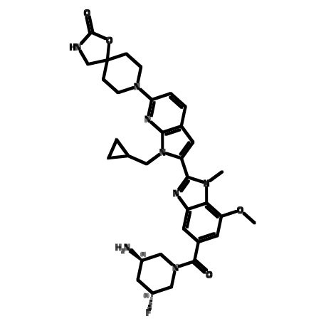 COc1cc(C(=O)N2C[C@H](N)C[C@@H](F)C2)cc2nc(-c3cc4ccc(N5CCC6(CC5)CNC(=O)O6)nc4n3CC3CC3)n(C)c12